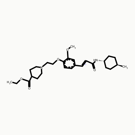 CCOC(=O)C1CCN(CCOc2ccc(/C=C/C(=O)N[C@H]3CC[C@H](C)CC3)cc2OC)CC1